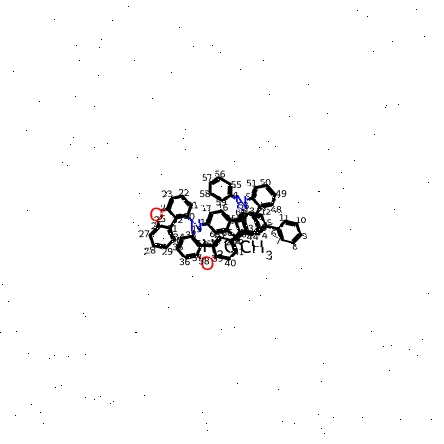 CC1(C)c2cc(-c3ccccc3)ccc2-c2ccc(N(c3cccc4oc5ccccc5c34)c3cccc4oc5ccc(-c6ccc7c8ccccc8n(-c8ccccc8)c7c6)cc5c34)cc21